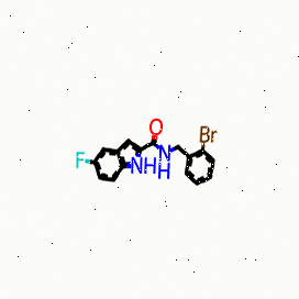 O=C(NCc1ccccc1Br)c1cc2cc(F)ccc2[nH]1